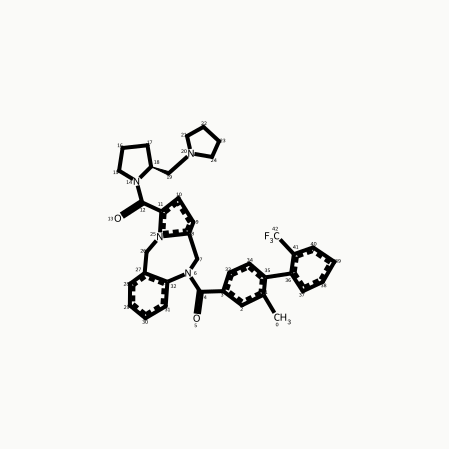 Cc1cc(C(=O)N2Cc3ccc(C(=O)N4CCC[C@H]4CN4CCCC4)n3Cc3ccccc32)ccc1-c1ccccc1C(F)(F)F